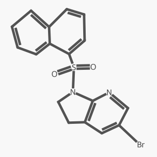 O=S(=O)(c1cccc2ccccc12)N1CCc2cc(Br)cnc21